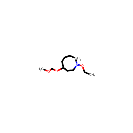 CCON1CCC(OCOC)CCC[SiH2]1